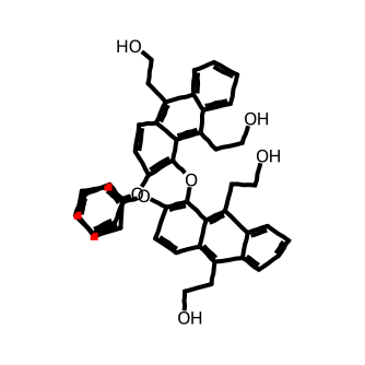 OCCc1c2ccccc2c(CCO)c2c(Oc3c(Oc4ccccc4)ccc4c(CCO)c5ccccc5c(CCO)c34)c(Oc3ccccc3)ccc12